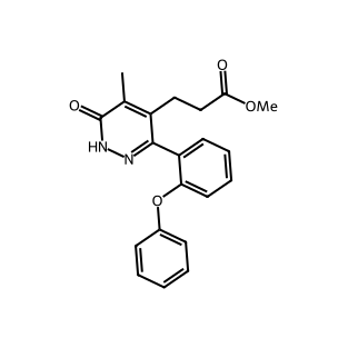 COC(=O)CCc1c(-c2ccccc2Oc2ccccc2)n[nH]c(=O)c1C